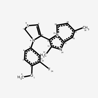 COc1ccc(N2CSC=C2c2c(C)nc3cc(C)ccn23)cc1F